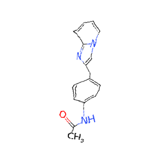 CC(=O)Nc1ccc(-c2cn3ccccc3n2)cc1